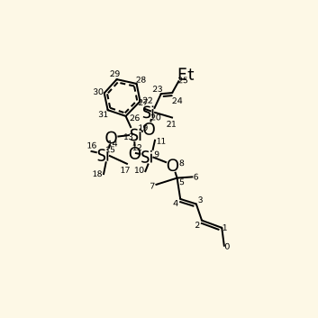 C/C=C/C=C/C(C)(C)O[Si](C)(C)O[Si](O[Si](C)(C)C)(O[Si](C)(C)/C=C/CC)c1ccccc1